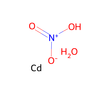 O.O=[N+]([O-])O.[Cd]